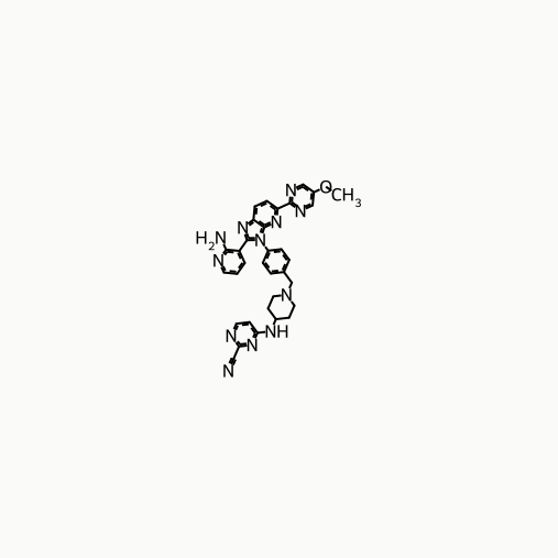 COc1cnc(-c2ccc3nc(-c4cccnc4N)n(-c4ccc(CN5CCC(Nc6ccnc(C#N)n6)CC5)cc4)c3n2)nc1